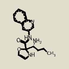 CCC[C@@H](N)C1(C(=O)Nc2cnc3ccccc3c2)NC=CO1